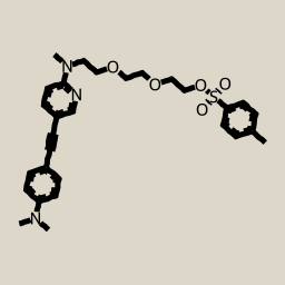 Cc1ccc(S(=O)(=O)OCCOCCOCCN(C)c2ccc(C#Cc3ccc(N(C)C)cc3)cn2)cc1